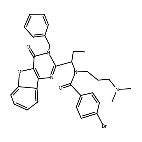 CCC(c1nc2c(oc3ccccc32)c(=O)n1Cc1ccccc1)N(CCCN(C)C)C(=O)c1ccc(Br)cc1